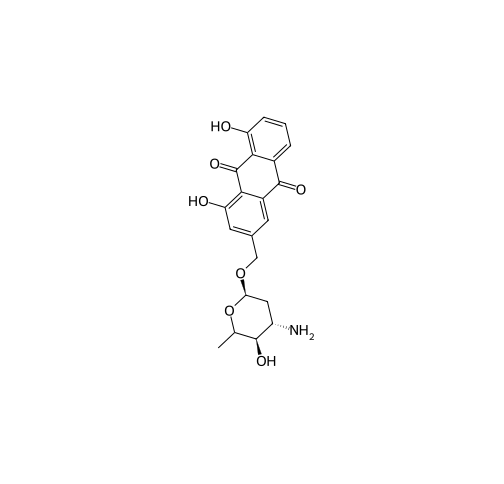 CC1O[C@@H](OCc2cc(O)c3c(c2)C(=O)c2cccc(O)c2C3=O)C[C@H](N)[C@H]1O